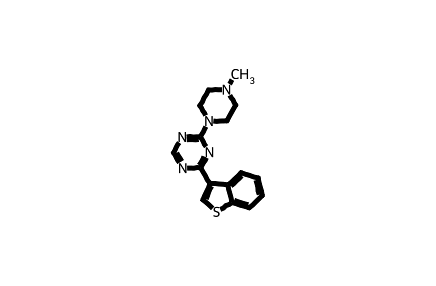 CN1CCN(c2ncnc(-c3csc4ccccc34)n2)CC1